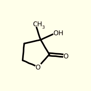 CC1(O)CCOC1=O